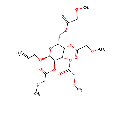 C=CCO[C@H]1O[C@H](COC(=O)COC)[C@H](OC(=O)COC)[C@H](OC(=O)COC)[C@H]1OC(=O)COC